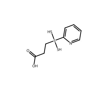 O=C(O)CCS(S)(S)c1ccccn1